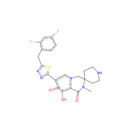 CN1C(=O)c2c(O)c(=O)c(-c3nnc(Cc4ccc(F)cc4F)s3)cn2CC12CCNCC2